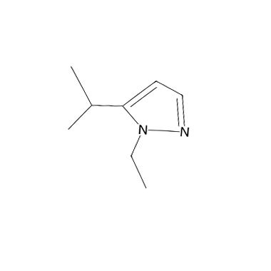 CCn1nccc1C(C)C